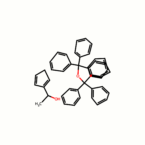 CC(O)C1=CCC=C1.c1ccc(C(OC(c2ccccc2)(c2ccccc2)c2ccccc2)(c2ccccc2)c2ccccc2)cc1